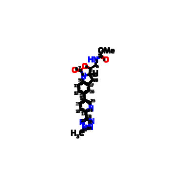 COC(=O)NC[C@@H]1OC(=O)N2c3ccc(-c4ccc(-c5nnn(C)n5)nc4)cc3C[C@@H]12